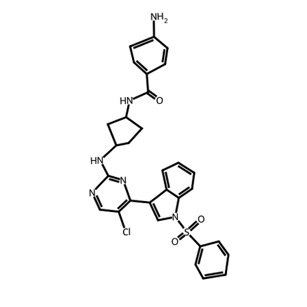 Nc1ccc(C(=O)NC2CCC(Nc3ncc(Cl)c(-c4cn(S(=O)(=O)c5ccccc5)c5ccccc45)n3)C2)cc1